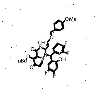 CCCCOc1c2n(ccc1=O)N(C(c1ccc(F)c(F)c1)c1cc(F)c(F)cc1O)C(CCOCc1ccc(OC)cc1)N(C)C2=O